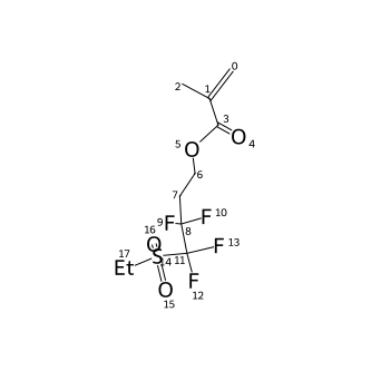 C=C(C)C(=O)OCCC(F)(F)C(F)(F)S(=O)(=O)CC